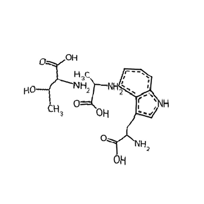 CC(N)C(=O)O.CC(O)C(N)C(=O)O.NC(Cc1c[nH]c2ccccc12)C(=O)O